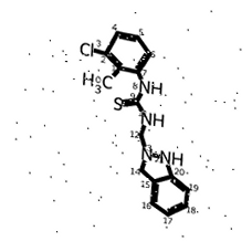 Cc1c(Cl)cccc1NC(=S)NCN1Cc2ccccc2N1